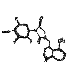 COc1c(F)cc(N2C(=O)CN(Cc3ccnc4cccc(C)c34)C2=O)c(F)c1F